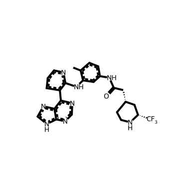 Cc1ccc(NC(=O)C[C@H]2CCN[C@@H](C(F)(F)F)C2)cc1Nc1ncccc1-c1ncnc2[nH]cnc12